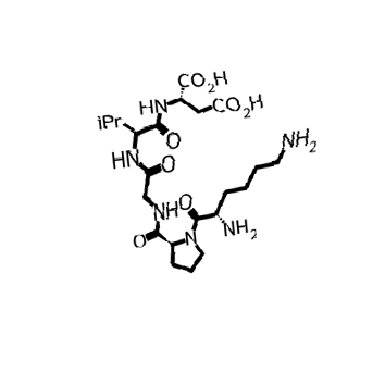 CC(C)[C@H](NC(=O)CNC(=O)[C@@H]1CCCN1C(=O)[C@@H](N)CCCCN)C(=O)N[C@@H](CC(=O)O)C(=O)O